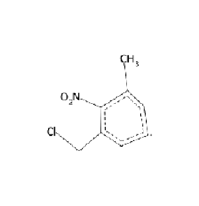 Cc1c[c]cc(CCl)c1[N+](=O)[O-]